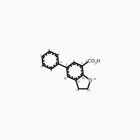 O=C(O)c1cc(-c2cc[c]cc2)cc2c1OCC2